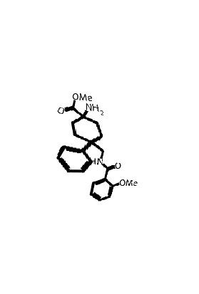 COC(=O)C1(N)CCC(CNC(=O)c2ccccc2OC)(c2ccccc2)CC1